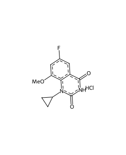 COc1cc(F)cc2c(=O)[nH]c(=O)n(C3CC3)c12.Cl